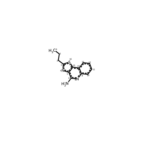 CCCc1nc2c(N)nc3ccccc3c2s1